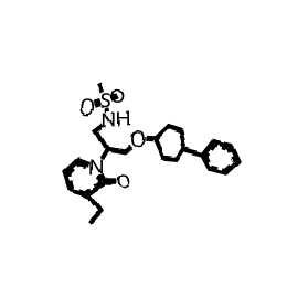 CCc1cccn(C(CNS(C)(=O)=O)COC2CCC(c3ccccc3)CC2)c1=O